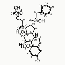 CC12C=CC(=O)C=C1CC[C@@H]1C2[C@@H](O)C[C@@]2(C)C1C[C@@H](CN(O)Cc1ccccc1)[C@@H]2C(=O)COS(C)(=O)=O